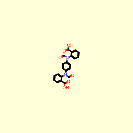 O=CN(c1ccc(N(C=O)c2ccccc2C(=O)O)cc1)c1ccccc1C(=O)O